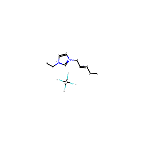 CC/C=C/C[n+]1ccn(CC)c1.F[B-](F)(F)F